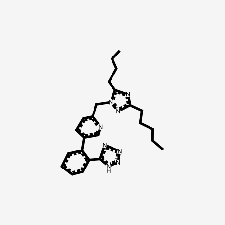 CCCCCc1nc(CCCC)n(Cc2ccc(-c3ccccc3-c3nnn[nH]3)cn2)n1